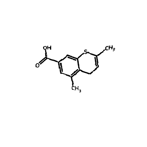 CC1=CCc2c(C)cc(C(=O)O)cc2S1